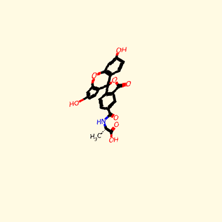 C[C@H](NC(=O)c1ccc2c(c1)C(=O)OC21c2ccc(O)cc2Oc2cc(O)ccc21)C(=O)O